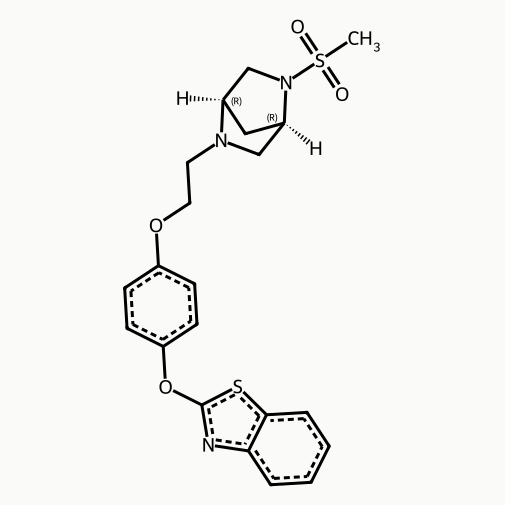 CS(=O)(=O)N1C[C@H]2C[C@@H]1CN2CCOc1ccc(Oc2nc3ccccc3s2)cc1